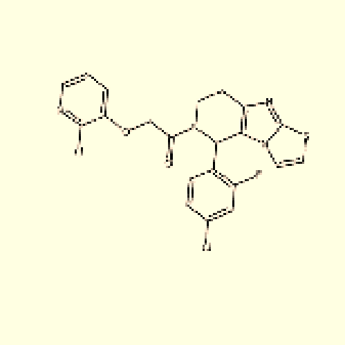 O=C(COc1cccnc1Cl)N1CCc2nc3sccn3c2C1c1ccc(Cl)cc1F